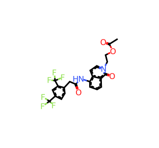 CC(=O)OCCn1ccc2c(NC(=O)Cc3ccc(C(F)(F)F)cc3C(F)(F)F)cccc2c1=O